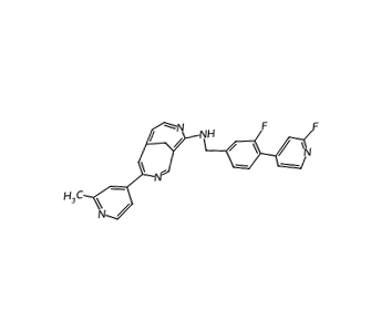 Cc1cc(C2=CC3=CC=NC(NCc4ccc(-c5ccnc(F)c5)c(F)c4)=C(C=N2)C3)ccn1